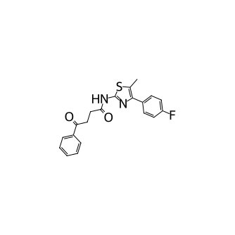 Cc1sc(NC(=O)CCC(=O)c2ccccc2)nc1-c1ccc(F)cc1